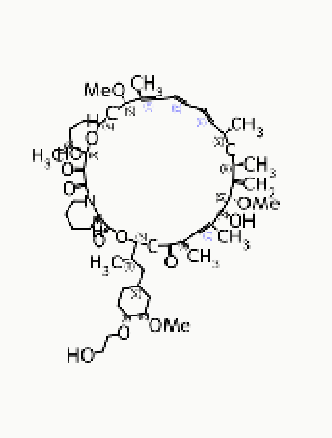 C=C1[C@H](C)C[C@H](C)/C=C/C=C/C=C(\C)[C@@H](OC)C[C@@H]2CC[C@@H](C)[C@@](O)(O2)C(=O)C(=O)N2CCCC[C@H]2C(=O)O[C@H]([C@H](C)C[C@@H]2CC[C@@H](OCCO)[C@H](OC)C2)CC(=O)[C@H](C)/C=C(\C)[C@@H](O)[C@H]1OC